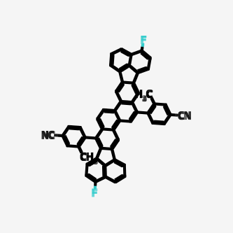 Cc1cc(C#N)ccc1-c1cc2c3cc4c(c(-c5ccc(C#N)cc5C)c3ccc2c2cc3c(cc12)-c1ccc(F)c2cccc-3c12)-c1ccc(F)c2cccc-4c12